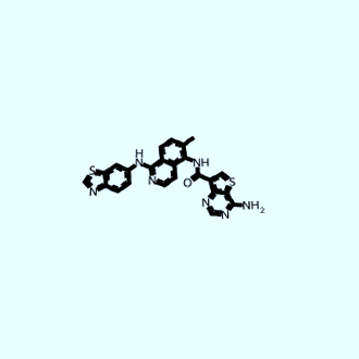 Cc1ccc2c(Nc3ccc4ncsc4c3)nccc2c1NC(=O)c1csc2c(N)ncnc12